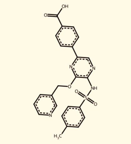 Cc1ccc(S(=O)(=O)Nc2ncc(-c3ccc(C(=O)O)cc3)nc2OCc2cccnc2)cc1